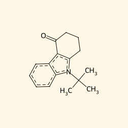 CC(C)(C)n1c2c(c3ccccc31)C(=O)CCC2